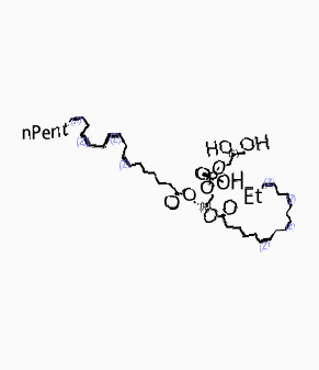 CC/C=C\C/C=C\C/C=C\C/C=C\CCCCC(=O)O[C@H](COC(=O)CCCCC/C=C\C/C=C\C/C=C\C/C=C\CCCCC)COP(=O)(O)OC[C@@H](O)CO